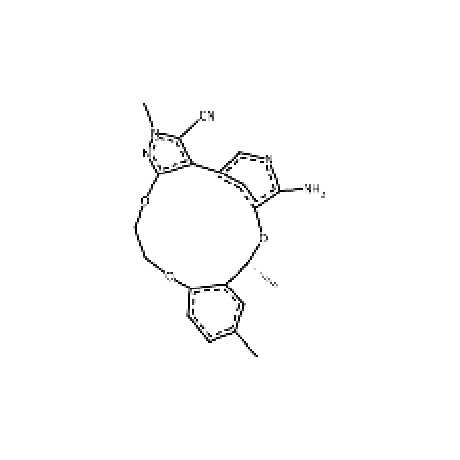 Cc1ccc2c(c1)[C@@H](C)Oc1cc(cnc1N)-c1c(nn(C)c1C#N)OCCO2